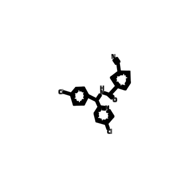 N#Cc1cccc(C(=O)NC(c2ccc(Cl)cc2)c2ccc(Cl)cn2)c1